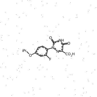 CC(C)Oc1ccc(-n2nc(C(=O)O)c(=O)[nH]c2=O)c(F)c1